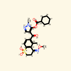 CCO/N=C1/CCS(=O)(=O)c2ccc(C(=O)c3cnn(CC)c3OC(=O)C3CCCCC3)c(C)c21